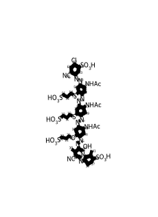 CC(=O)Nc1cc(N=Nc2cc(SCCCS(=O)(=O)O)c(N=Nc3cc(OCCCS(=O)(=O)O)c(N=Nc4c(C)c(C#N)c5nc6ccc(S(=O)(=O)O)c(C)c6n5c4O)cc3NC(C)=O)cc2NC(C)=O)c(SCCCS(=O)(=O)O)cc1N=Nc1cc(S(=O)(=O)O)c(Cl)cc1C#N